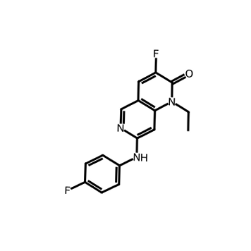 CCn1c(=O)c(F)cc2cnc(Nc3ccc(F)cc3)cc21